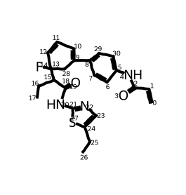 C=CC(=O)Nc1ccc(C2=CC=CC(F)(C(CC)C(=O)Nc3ncc(CC)s3)C2)cc1